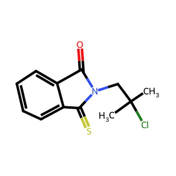 CC(C)(Cl)CN1C(=O)c2ccccc2C1=S